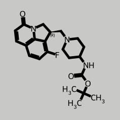 CC(C)(C)OC(=O)NC1CCN(C[C@@H]2Cn3c(=O)ccc4ccc(F)c2c43)CC1